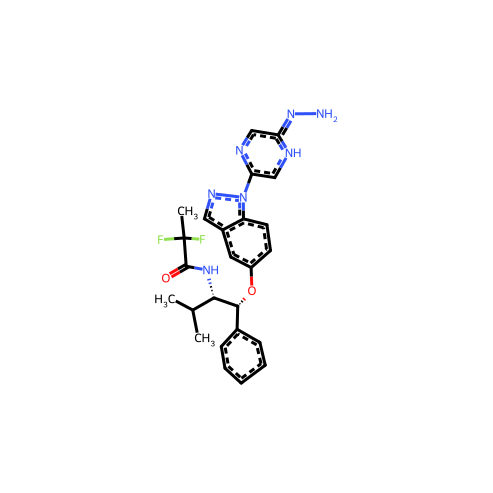 CC(C)[C@H](NC(=O)C(C)(F)F)[C@H](Oc1ccc2c(cnn2-c2c[nH]/c(=N\N)cn2)c1)c1ccccc1